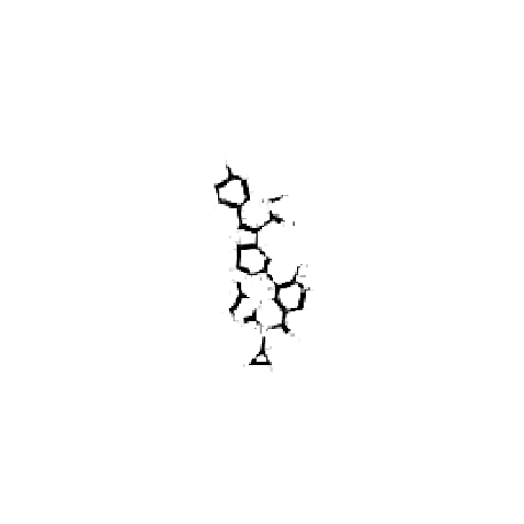 CNC(=O)c1c(-c2ccc(F)cc2)oc2ccc(-c3cc(C(=O)N(c4ncc(C)o4)C4CC4)ccc3C)cc12